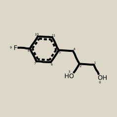 OCC(O)Cc1ccc(F)cc1